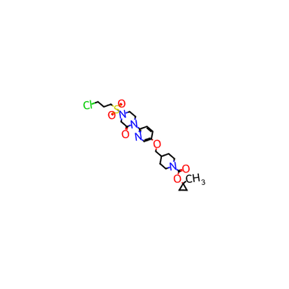 CC1(OC(=O)N2CCC(COc3ccc(N4CCN(S(=O)(=O)CCCCl)CC4=O)nc3)CC2)CC1